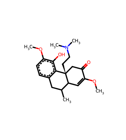 COC1=CC2C(C)Cc3ccc(OC)c(O)c3[C@]2(CCN(C)C)CC1=O